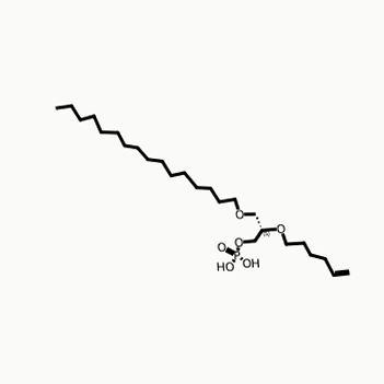 C=CCCCCO[C@@H](COCCCCCCCCCCCCCCCC)COP(=O)(O)O